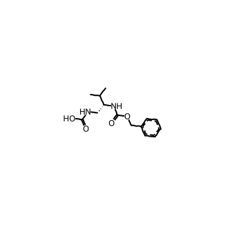 CC(C)[C@@H](CNC(=O)O)NC(=O)OCc1ccccc1